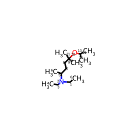 CCN(CC)C(C)CCC(C)(C)OC(C)C